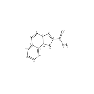 NC(=O)C1=CC2C=Cc3ccccc3C2S1